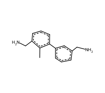 Cc1c(CN)cccc1-c1cccc(CN)c1